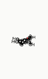 CC(C)(O)CC[C@H]1OP(=O)(O)O[C@]1(C)[C@H]1CC[C@@]2(O)C3=CC(=O)[C@@H]4CC(O)=C(O)C[C@]4(C)C3CC[C@]12C